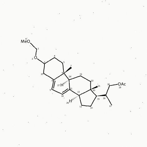 COCOC1CC[C@@]2(C)C(=CC=C3[C@@H]4CC[C@H](C(C)COC(C)=O)[C@@]4(C)CC[C@@H]32)C1